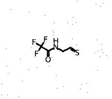 O=C(NCC=S)C(F)(F)F